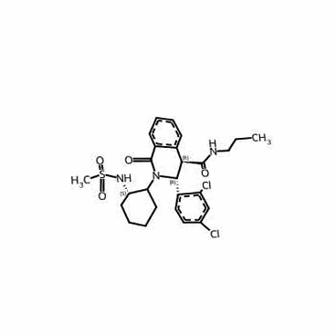 CCCNC(=O)[C@@H]1c2ccccc2C(=O)N(C2CCCC[C@@H]2NS(C)(=O)=O)[C@H]1c1ccc(Cl)cc1Cl